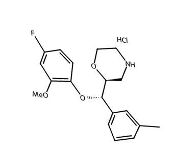 COc1cc(F)ccc1O[C@@H](c1cccc(C)c1)[C@@H]1CNCCO1.Cl